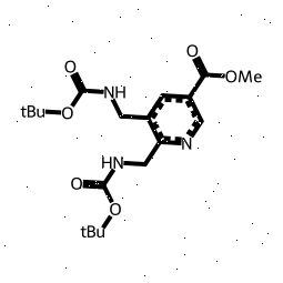 COC(=O)c1cnc(CNC(=O)OC(C)(C)C)c(CNC(=O)OC(C)(C)C)c1